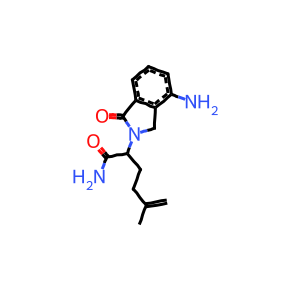 C=C(C)CCC(C(N)=O)N1Cc2c(N)cccc2C1=O